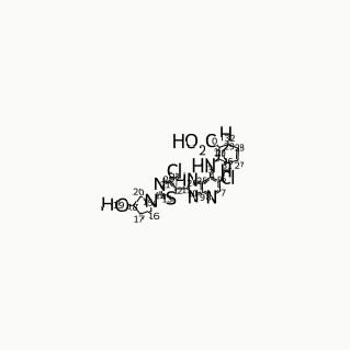 O=C(O)[C@@H]1[C@H](Nc2c(Cl)cnc3nc(-c4sc(N5CC[C@@H](O)C5)nc4Cl)[nH]c23)[C@H]2C=C[C@@H]1C2